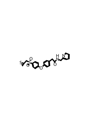 O=C(Cc1ccc(Oc2ccc(S(=O)(=O)CC3CS3)cc2)cc1)NCc1ccccn1